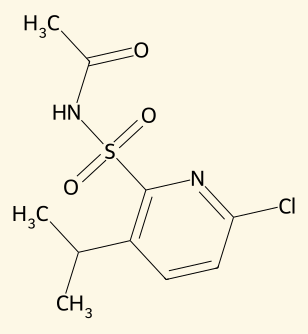 CC(=O)NS(=O)(=O)c1nc(Cl)ccc1C(C)C